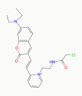 CCN(CC)c1ccc2cc(/C=C/c3cccc[n+]3CCNC(=O)CCl)c(=O)oc2c1